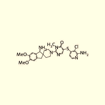 COc1cc2c(cc1OC)[C@@H](N)C1(CCN(c3ncc(Sc4ccnc(N)c4Cl)c(=O)n3C)CC1)C2